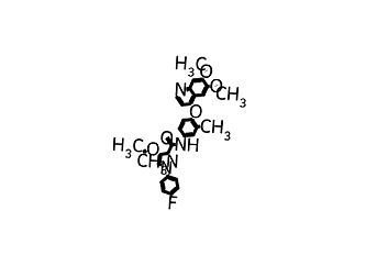 COc1cc2nccc(Oc3ccc(NC(=O)c4nn(-c5ccc(F)cc5)cc4OC(C)C)cc3C)c2cc1OC